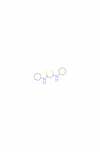 S=C(CC(=S)NC1CCCCC1)NC1CCCCC1